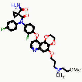 COCCN(C)CCCOc1cc2nccc(Oc3ccc(N(C(=O)C4(C(N)=O)CC4)c4ccc(F)cc4)cc3F)c2c2c1OCCO2